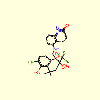 COc1c(Cl)ccc2c1C(C)(C)CC(O)(C(F)(F)F)C2(O)CNc1cccc2[nH]c(=O)ccc12